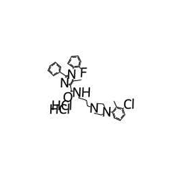 Cc1c(Cl)cccc1N1CCN(CCCNC(=O)c2nc(-c3ccccc3)n(-c3ccccc3F)c2C)CC1.Cl.Cl